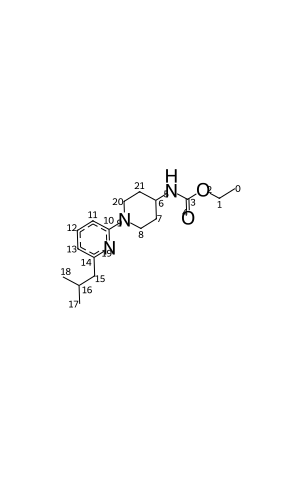 CCOC(=O)NC1CCN(c2cccc(CC(C)C)n2)CC1